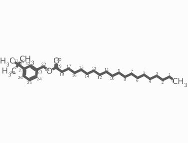 CCCCCCCCCCCCCCCCCCCC(=O)OCc1cccc(C(C)(C)C)c1